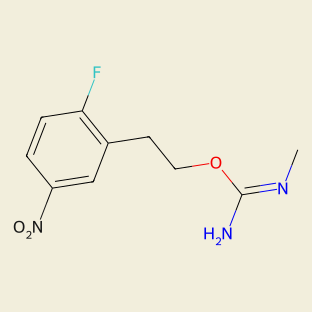 C/N=C(/N)OCCc1cc([N+](=O)[O-])ccc1F